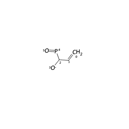 C=CC([O])P=O